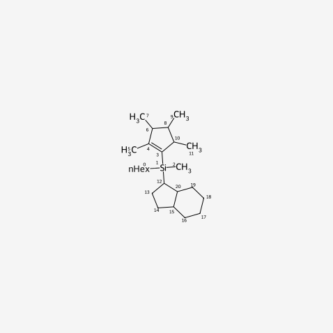 CCCCCC[Si](C)(C1=C(C)C(C)C(C)C1C)C1CCC2CCCCC21